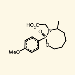 COc1ccc(P2(=O)OCCCCC(C)N2CC(=O)O)cc1